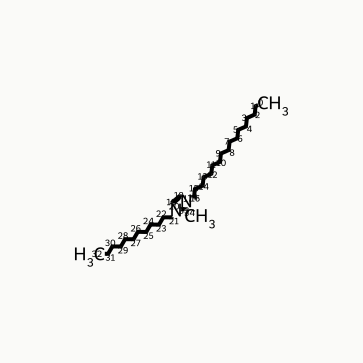 CCCCCCCCCCCCCCCCC[n+]1ccn(CCCCCCCCCCCC)c1C